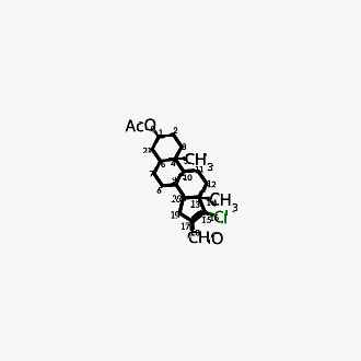 CC(=O)O[C@H]1CC[C@@]2(C)C(CCC3C2CC[C@]2(C)C(Cl)=C(C=O)CC32)C1